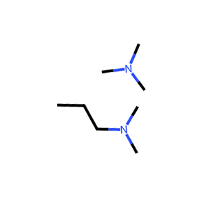 CCCN(C)C.CN(C)C